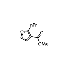 CCCc1occc1C(=O)OC